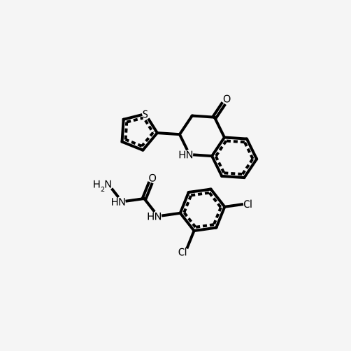 NNC(=O)Nc1ccc(Cl)cc1Cl.O=C1CC(c2cccs2)Nc2ccccc21